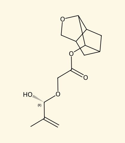 C=C(C)[C@H](O)OCC(=O)OC1C2CC3COC1C3C2